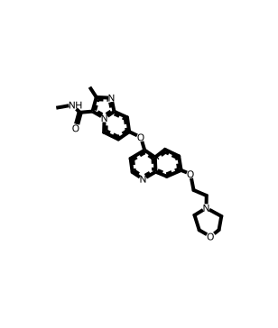 CNC(=O)c1c(C)nc2cc(Oc3ccnc4cc(OCCN5CCOCC5)ccc34)ccn12